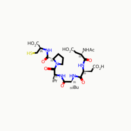 CC[C@H](C)[C@H](NC(=O)[C@H](CC(=O)O)NC(=O)[C@H](CC(=O)O)NC(C)=O)C(=O)N[C@H](C(=O)N1CCC[C@H]1C(=O)N[C@@H](CS)C(=O)O)C(C)C